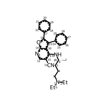 CCN(CC)CCC[C@@H](C)Nc1c(C#N)cnc2oc(-c3ccccc3)c(-c3ccccc3)c12